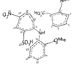 CNc1ccccc1C(=O)O.COc1ccccc1Nc1ccc([N+](=O)[O-])cc1S(=O)(=O)O